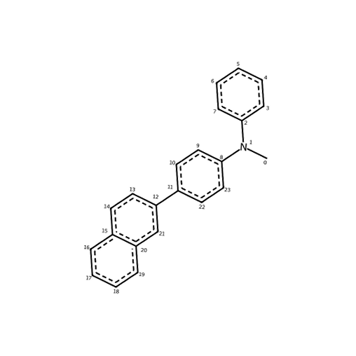 CN(c1ccccc1)c1ccc(-c2ccc3ccccc3c2)cc1